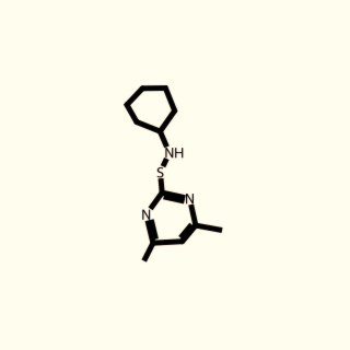 Cc1cc(C)nc(SNC2CCCCC2)n1